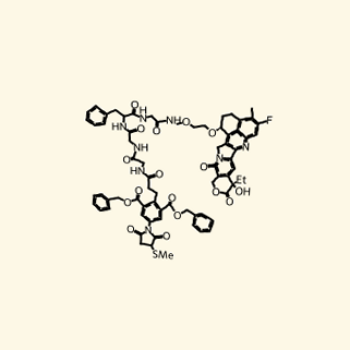 CC[C@@]1(O)C(=O)OCc2c1cc1n(c2=O)Cc2c-1nc1cc(F)c(C)c3c1c2[C@@H](OCCOCNC(=O)CNC(=O)C(Cc1ccccc1)NC(=O)CNC(=O)CNC(=O)CCc1c(C(=O)OCc2ccccc2)cc(N2C(=O)CC(SC)C2=O)cc1C(=O)OCc1ccccc1)CC3